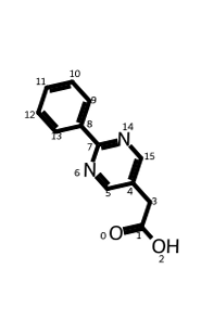 O=C(O)Cc1cnc(-c2ccccc2)nc1